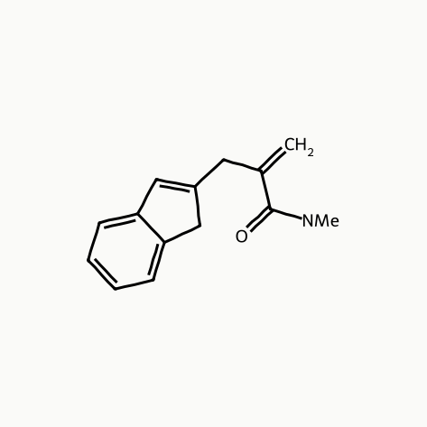 C=C(CC1=Cc2ccccc2C1)C(=O)NC